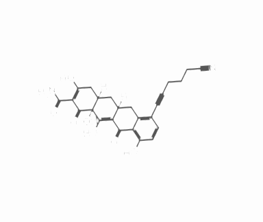 N#CCCCC#Cc1ccc(O)c2c1C[C@H]1C[C@H]3CC(O)=C(C(N)=O)C(=O)[C@@]3(O)C(O)=C1C2=O